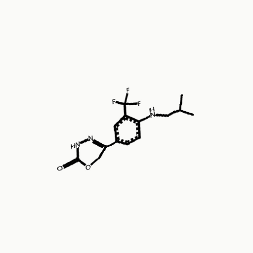 CC(C)CNc1ccc(C2=NNC(=O)OC2)cc1C(F)(F)F